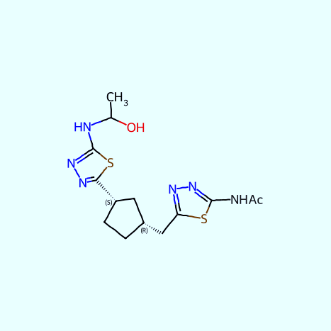 CC(=O)Nc1nnc(C[C@@H]2CC[C@H](c3nnc(NC(C)O)s3)C2)s1